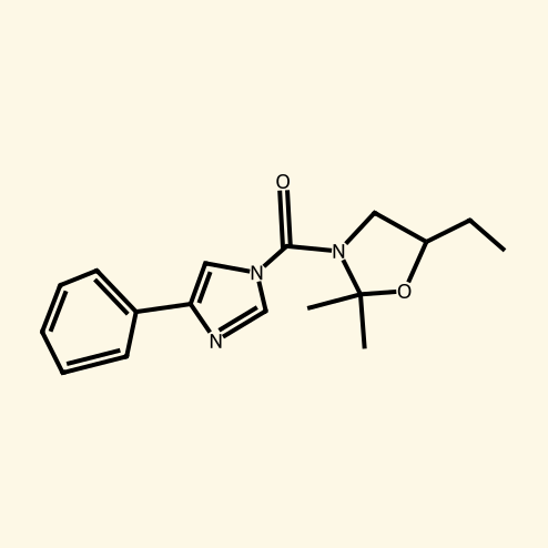 CCC1CN(C(=O)n2cnc(-c3ccccc3)c2)C(C)(C)O1